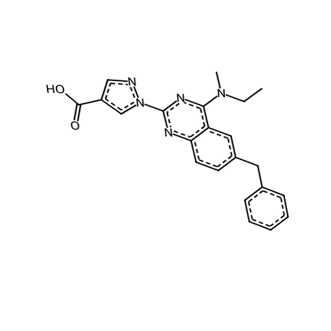 CCN(C)c1nc(-n2cc(C(=O)O)cn2)nc2ccc(Cc3ccccc3)cc12